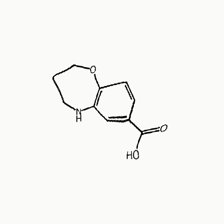 O=C(O)c1ccc2c(c1)NCCCO2